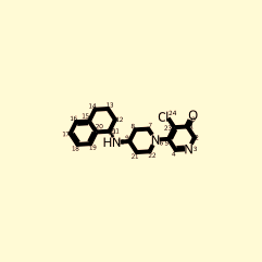 O=C1CN=CC(N2CCC(N[C@@H]3CCCc4ccccc43)CC2)=C1Cl